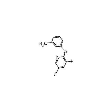 Cc1cccc(Oc2ncc(F)cc2F)c1